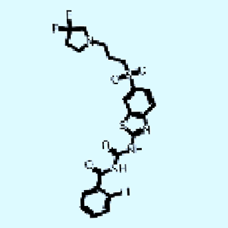 O=C(NC(=O)c1ccccc1Cl)Nc1nc2ccc(S(=O)(=O)CCCN3CCC(F)(F)C3)cc2s1